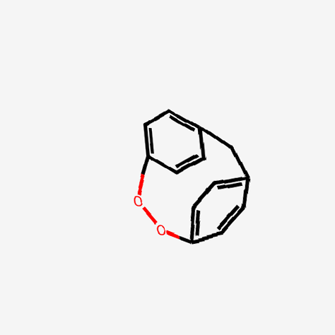 c1cc2ccc1Cc1ccc(cc1)OO2